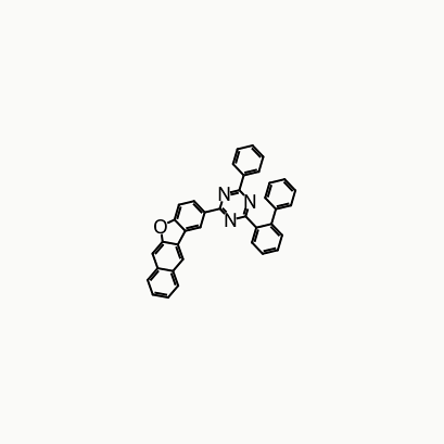 c1ccc(-c2nc(-c3ccc4oc5cc6ccccc6cc5c4c3)nc(-c3ccccc3-c3ccccc3)n2)cc1